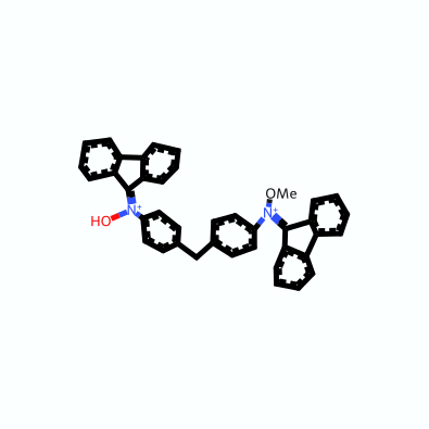 CO[N+](=C1c2ccccc2-c2ccccc21)c1ccc(Cc2ccc([N+](O)=C3c4ccccc4-c4ccccc43)cc2)cc1